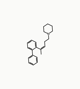 CC(=CCCN1CCCCC1)c1ccccc1-c1ccccc1